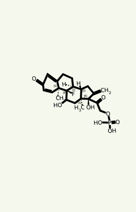 C=C1C[C@H]2[C@@H]3CCC4=CC(=O)C=C[C@]4(C)[C@@]3(F)C(O)C[C@]2(C)[C@@]1(O)C(=O)COP(=O)(O)O